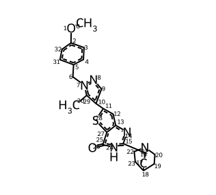 COc1ccc(Cn2ncc(-c3cc4nc(C5CC6CCN5CC6)[nH]c(=O)c4s3)c2C)cc1